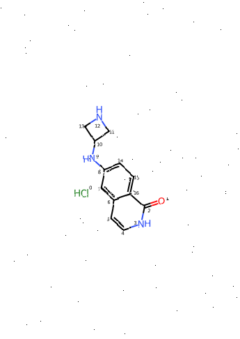 Cl.O=c1[nH]ccc2cc(NC3CNC3)ccc12